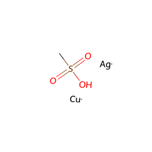 CS(=O)(=O)O.[Ag].[Cu]